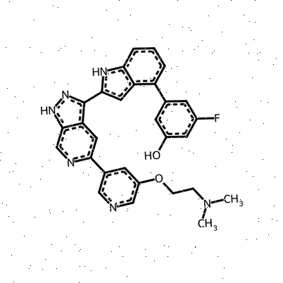 CN(C)CCOc1cncc(-c2cc3c(-c4cc5c(-c6cc(O)cc(F)c6)cccc5[nH]4)n[nH]c3cn2)c1